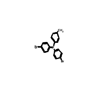 Cc1ccc(P(c2ccc(Br)cc2)c2ccc(Br)cc2)cc1